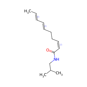 C/C=C/C=C/CC/C=C\C(=O)NCC(C)C